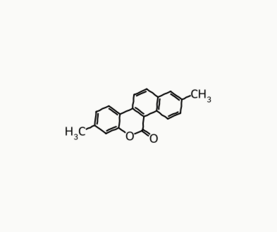 Cc1ccc2c(ccc3c4ccc(C)cc4oc(=O)c23)c1